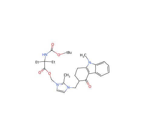 CCC(CC)(NC(=O)OC(C)(C)C)C(=O)OC[n+]1ccn(CC2CCc3c(c4ccccc4n3C)C2=O)c1C